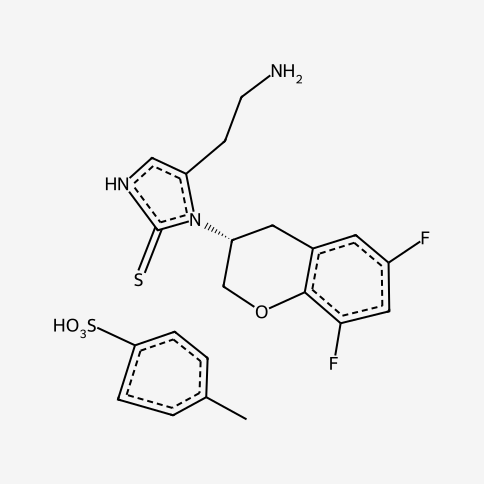 Cc1ccc(S(=O)(=O)O)cc1.NCCc1c[nH]c(=S)n1[C@H]1COc2c(F)cc(F)cc2C1